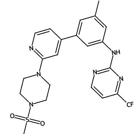 Cc1cc(Nc2nccc(C(F)(F)F)n2)cc(-c2ccnc(N3CCN(S(C)(=O)=O)CC3)c2)c1